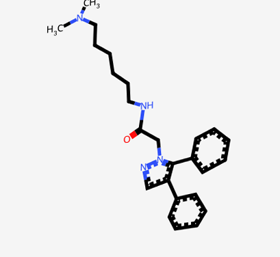 CN(C)CCCCCCNC(=O)Cn1ncc(-c2ccccc2)c1-c1ccccc1